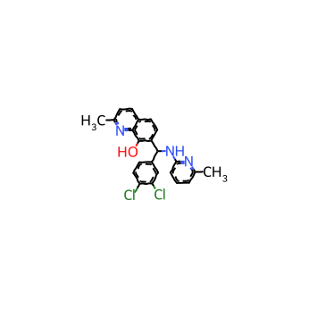 Cc1cccc(NC(c2ccc(Cl)c(Cl)c2)c2ccc3ccc(C)nc3c2O)n1